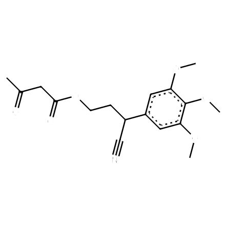 COc1cc(C(C#N)CCOC(=O)CC(C)=O)cc(OC)c1OC